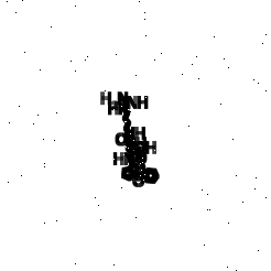 N=C(N)NCCCCNC(=O)NCC(NC(=O)C1CCCN1S(=O)(=O)c1ccccc1)C(=O)O